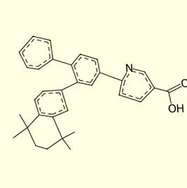 CC1(C)CCC(C)(C)c2cc(-c3cc(-c4ccc(C(=O)O)cn4)ccc3-c3ccccc3)ccc21